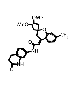 COCCC1(CCOC)C/C(=C\C(=O)Nc2ccc3c(c2)NC(=O)CC3)c2ccc(C(F)(F)F)cc2O1